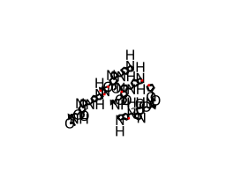 COc1cc2c(Nc3ccc4[nH]ccc4c3)ccnc2cc1OCC1(N(C)C)CC1.COc1cc2c(Nc3ccc4[nH]ccc4c3)ccnc2cc1OCC1(N)CC1.COc1cc2c(Nc3ccc4[nH]ccc4c3)ccnc2cc1OCC1(NC(=O)OCc2ccccc2)CC1.COc1cc2c(Nc3ccc4[nH]ccc4c3)ccnc2cc1OCC1(NC(C)=O)CC1